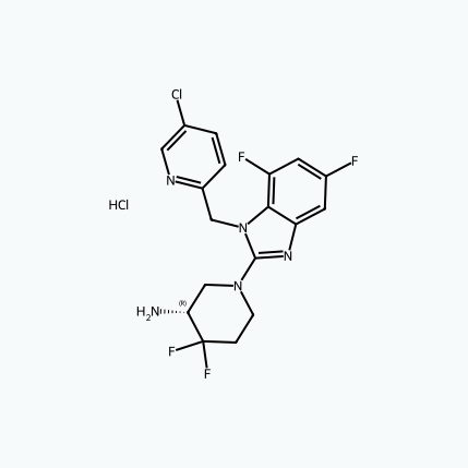 Cl.N[C@@H]1CN(c2nc3cc(F)cc(F)c3n2Cc2ccc(Cl)cn2)CCC1(F)F